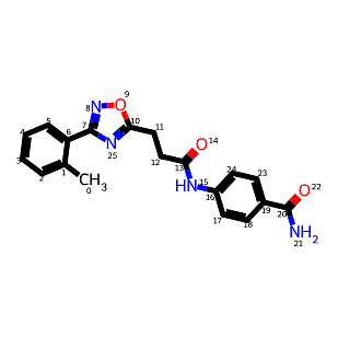 Cc1ccccc1-c1noc(CCC(=O)Nc2ccc(C(N)=O)cc2)n1